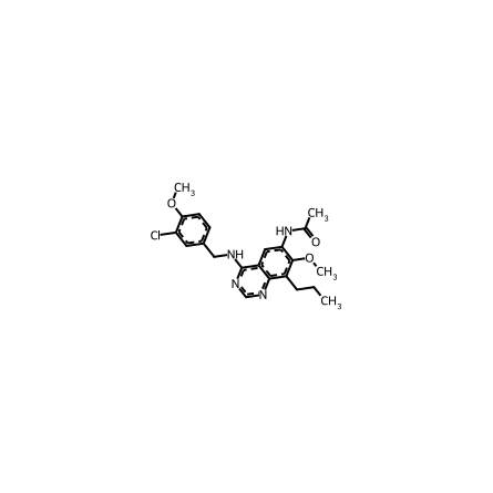 CCCc1c(OC)c(NC(C)=O)cc2c(NCc3ccc(OC)c(Cl)c3)ncnc12